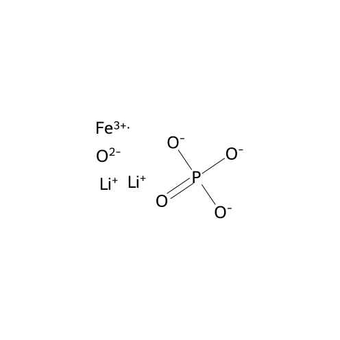 O=P([O-])([O-])[O-].[Fe+3].[Li+].[Li+].[O-2]